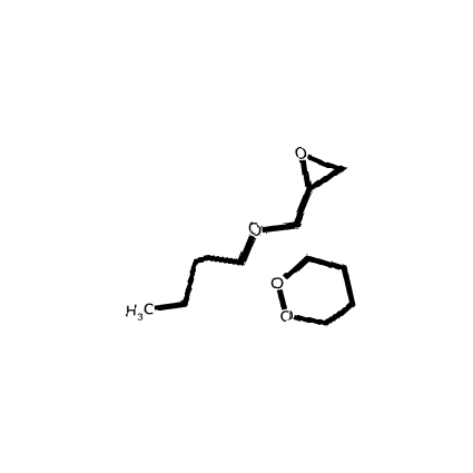 C1CCOOC1.CCCCOCC1CO1